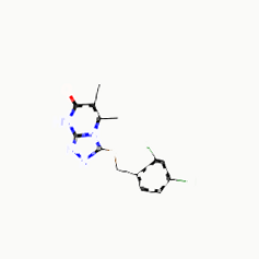 Cc1c(C)n2c(SCc3ccc(Cl)cc3Cl)nnc2[nH]c1=O